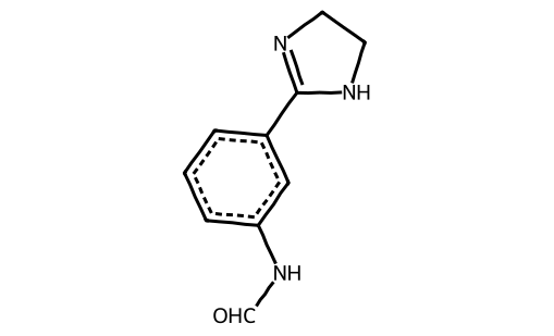 O=CNc1cccc(C2=NCCN2)c1